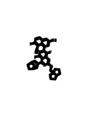 C#Cc1c(F)ccc2cc(O)cc(-c3nc(F)c4c(N5CC6CCC(C5)N6)nc(OCC56CCCN5CCC6)nc4c3F)c12